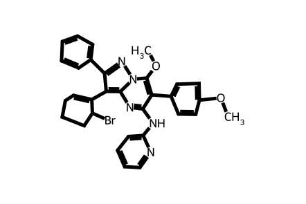 COc1ccc(-c2c(Nc3ccccn3)nc3c(C4=CCCCC4Br)c(-c4ccccc4)nn3c2OC)cc1